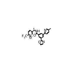 Cc1ccc(-c2cc(C(=O)N[C@H](C)c3ccc(C(F)(F)F)[n+]([O-])c3)cc(-c3ncco3)c2)nc1